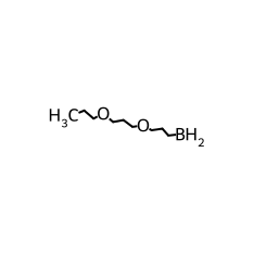 BCCCOCCCOCCC